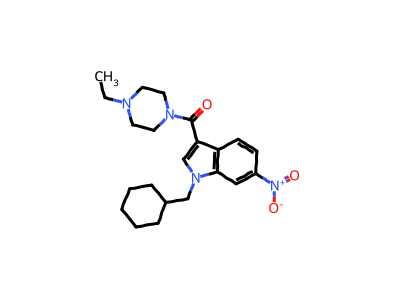 CCN1CCN(C(=O)c2cn(CC3CCCCC3)c3cc([N+](=O)[O-])ccc23)CC1